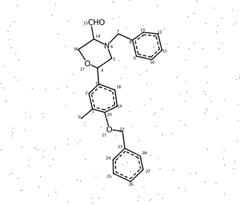 Cc1cc(C2CN(Cc3ccccc3)C(C=O)CO2)ccc1OCc1ccccc1